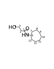 O=C(CCO)NC1CCCCCCC1